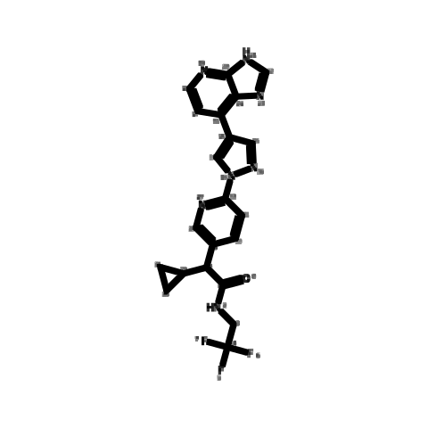 O=C(NCC(F)(F)F)C(c1ccc(-n2cc(-c3ccnc4[nH]cnc34)cn2)nc1)C1CC1